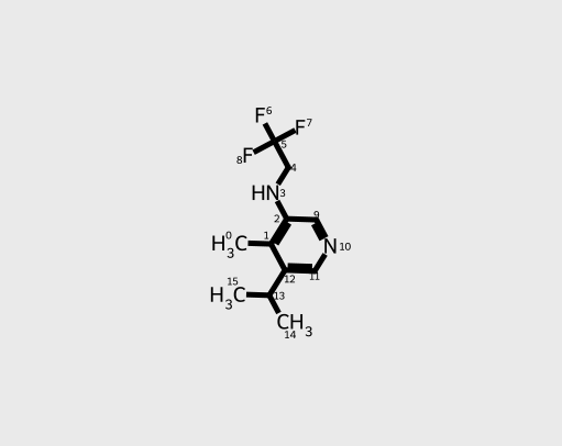 Cc1c(NCC(F)(F)F)cncc1C(C)C